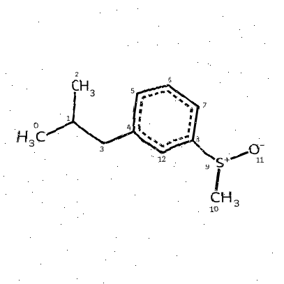 CC(C)Cc1cccc([S+](C)[O-])c1